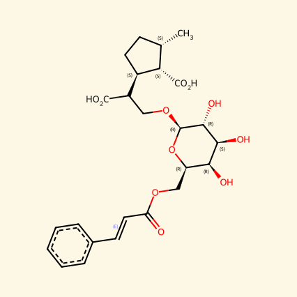 C[C@H]1CC[C@H](C(CO[C@@H]2O[C@H](COC(=O)/C=C/c3ccccc3)[C@H](O)[C@H](O)[C@H]2O)C(=O)O)[C@H]1C(=O)O